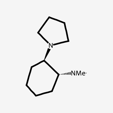 C[N][C@@H]1CCCC[C@H]1N1CCCC1